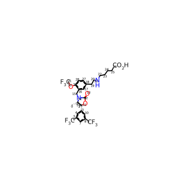 C[C@H]1[C@@H](c2cc(C(F)(F)F)cc(C(F)(F)F)c2)OC(=O)N1Cc1cc(CCNCCCCC(=O)O)ccc1OC(F)(F)F